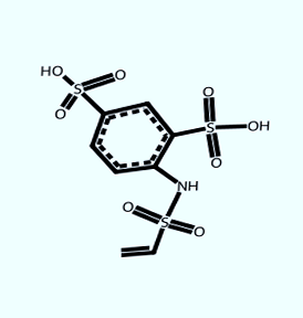 C=CS(=O)(=O)Nc1ccc(S(=O)(=O)O)cc1S(=O)(=O)O